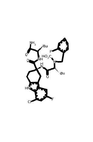 CC[C@H](C)C(NC(=O)[C@@]1(NC(=O)C([C@@H](C)CC)N(Cc2ccccc2F)C(=O)O)CCc2[nH]c3c(Cl)cc(F)cc3c2C1)C(N)=O